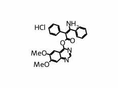 COc1cc2ncnc(OC(=O)/C(=C(/N)c3ccccc3)c3ccccc3)c2cc1OC.Cl